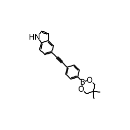 CC1(C)COB(c2ccc(C#Cc3ccc4[nH]ccc4c3)cc2)OC1